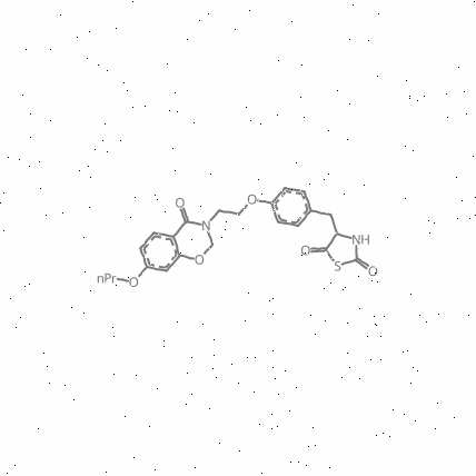 CCCOc1ccc2c(c1)OCN(CCOc1ccc(CC3NC(=O)SC3=O)cc1)C2=O